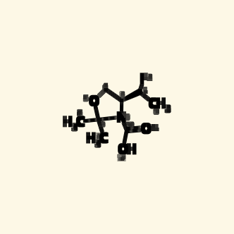 CC(F)[C@@H]1COC(C)(C)N1C(=O)O